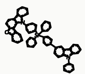 c1ccc(-n2c3ccccc3c3cc(-c4ccc([Si](c5ccccc5)(c5ccccc5)c5ccc(-n6c7ccccc7c7ccc8oc9ccccc9c8c76)cc5)cc4)ccc32)cc1